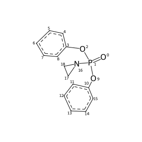 O=P(Oc1ccccc1)(Oc1ccccc1)N1CC1